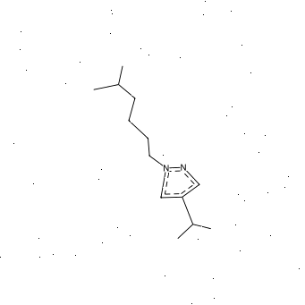 CC(C)CCCCn1cc(C(C)C)cn1